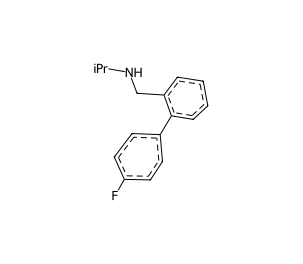 CC(C)NCc1ccccc1-c1ccc(F)cc1